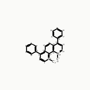 [CH2-][n+]1ccc(-c2ccccc2)c2ccc3c(-c4ccccc4)cc[n+]([CH2-])c3c21